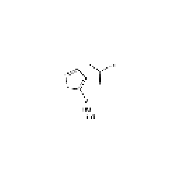 CC(C)O.Cl.Cl.[V][C]1=CC=CC1